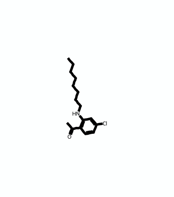 CCCCCCCCNc1cc(Cl)ccc1C(C)=O